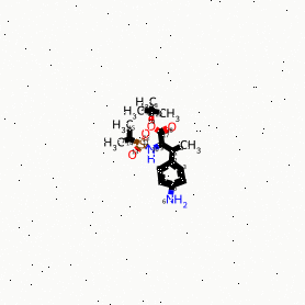 CC(c1ccc(N)cc1)C(NS(=O)(=O)C(C)C)C(=O)OC(C)(C)C